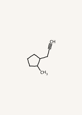 C#CCC1CCCC1C